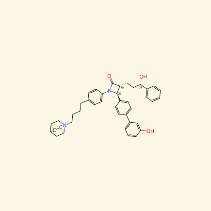 O=C1[C@H](CC[C@H](O)c2ccccc2)[C@@H](c2ccc(-c3cccc(O)c3)cc2)N1c1ccc(CCCC[N+]23CCC(CC2)CC3)cc1